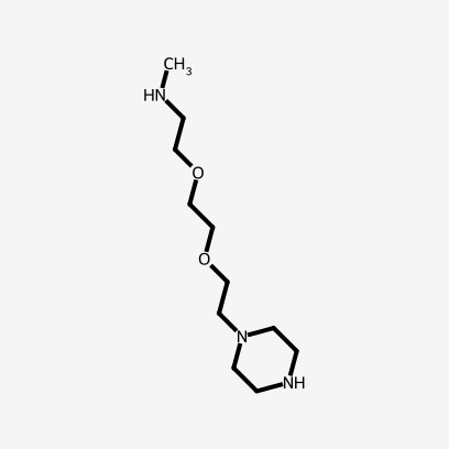 CNCCOCCOCCN1CCNCC1